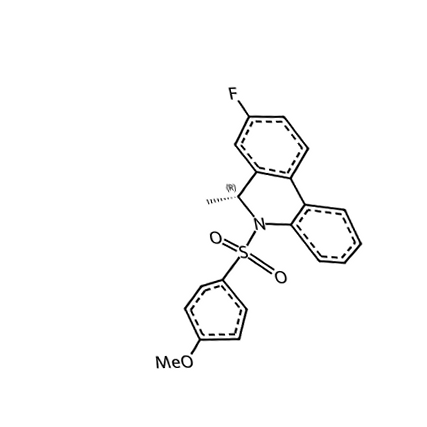 COc1ccc(S(=O)(=O)N2c3ccccc3-c3ccc(F)cc3[C@H]2C)cc1